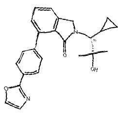 CC(C)(O)[C@@H](C1CC1)N1Cc2cccc(-c3ccc(-c4ncco4)cc3)c2C1=O